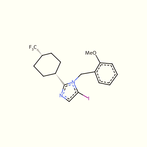 COc1ccccc1Cn1c(I)cnc1[C@H]1CC[C@@H](C(F)(F)F)CC1